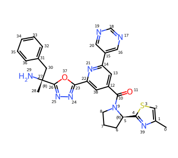 Cc1csc([C@H]2CCCN2C(=O)c2cc(-c3cncnc3)nc(-c3nnc([C@](C)(N)Cc4ccccc4)o3)c2)n1